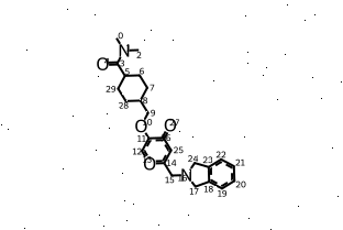 CN(C)C(=O)C1CCC(COc2coc(CN3Cc4ccccc4C3)cc2=O)CC1